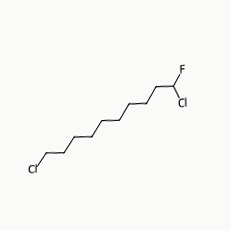 FC(Cl)CCCCCCCCCCl